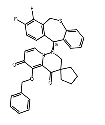 O=C1c2c(OCc3ccccc3)c(=O)ccn2N([C@@H]2c3ccccc3SCc3c2ccc(F)c3F)CC12CCCC2